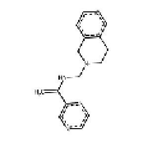 C=C(NCN1CCc2ccccc2C1)c1cnccn1